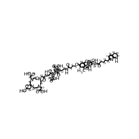 Cc1cc(OCCCC(=O)NCCNC(=O)[C@H](CS(=O)(=O)O)NC(=O)[C@H](CS(=O)(=O)O)NC(=O)CN2CCN(CC(=O)O)CCN(CC(=O)O)CCN(CC(=O)O)CC2)cc(C)c1S(=O)(=O)N[C@@H](CNC(=O)CCCCc1ccc2c(n1)NCCC2)C(=O)O